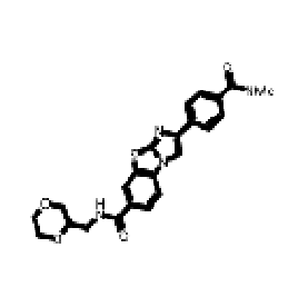 CNC(=O)c1ccc(-c2cn3c(n2)sc2cc(C(=O)NCC4COCCO4)ccc23)cc1